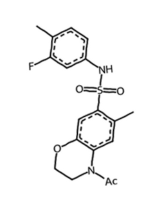 CC(=O)N1CCOc2cc(S(=O)(=O)Nc3ccc(C)c(F)c3)c(C)cc21